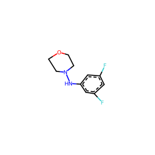 Fc1cc(F)cc(NN2CCOCC2)c1